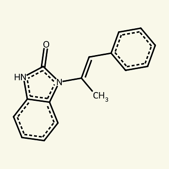 CC(=Cc1ccccc1)n1c(=O)[nH]c2ccccc21